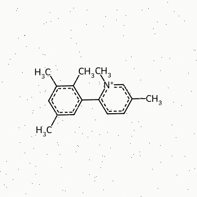 Cc1cc(C)c(C)c(-c2ccc(C)c[n+]2C)c1